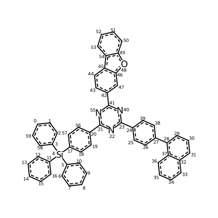 c1ccc([Si](c2ccccc2)(c2ccccc2)c2ccc(-c3nc(-c4ccc(-c5cccc6ccccc56)cc4)nc(-c4ccc5c(c4)oc4ccccc45)n3)cc2)cc1